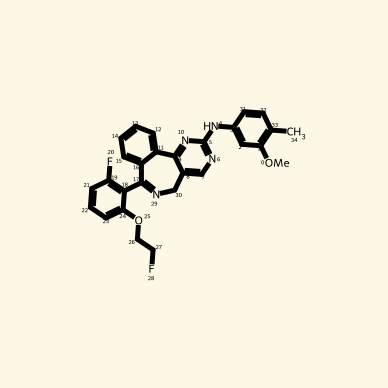 COc1cc(Nc2ncc3c(n2)-c2ccccc2C(c2c(F)cccc2OCCF)=NC3)ccc1C